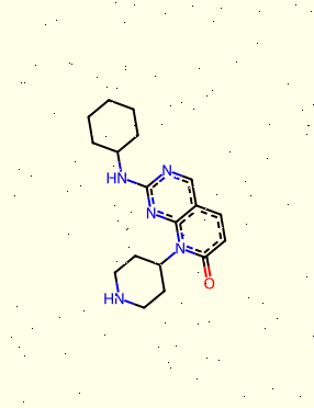 O=c1ccc2cnc(NC3CCCCC3)nc2n1C1CCNCC1